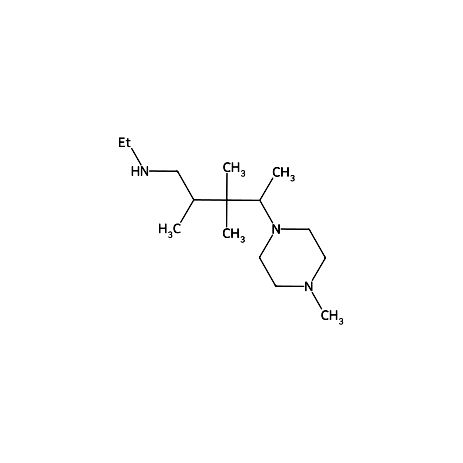 CCNCC(C)C(C)(C)C(C)N1CCN(C)CC1